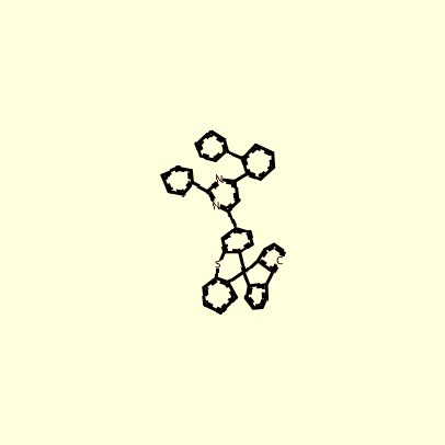 c1ccc(-c2nc(-c3ccc4c(c3)Sc3ccccc3C43c4ccccc4-c4ccccc43)cc(-c3ccccc3-c3ccccc3)n2)cc1